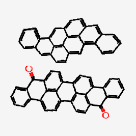 O=C1c2ccccc2-c2ccc3c4ccc5c6c(ccc(c7ccc1c2c73)c64)-c1ccccc1C5=O.c1ccc2c(c1)cc1ccc3cc4c5ccccc5cc5ccc6cc2c1c3c6c54